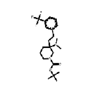 CN(C)C1(CCc2cccc(C(F)(F)F)c2)CCCN(C(=O)OC(C)(C)C)C1